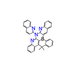 CC1(C)c2ccccc2B2c3cc4ccccc4nc3N(c3ccc4ccccc4n3)c3nc4ccccc4c1c32